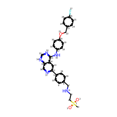 CS(=O)(=O)CCNCc1ccc(-c2cc3c(Nc4ccc(OCc5ccc(F)cc5)cc4)ncnc3cn2)cc1